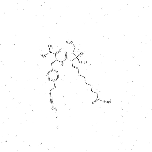 CC#CCOc1ccc(C[C@H](NC(=O)[C@@H](/C=C/CCCCCCC(=O)CCCCCCC)[C@@](O)(CCOC)C(=O)O)C(=O)N(C)C)cc1